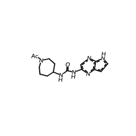 CC(=O)N1CCCC(NC(=O)Nc2cnc3[nH]ccc3n2)CC1